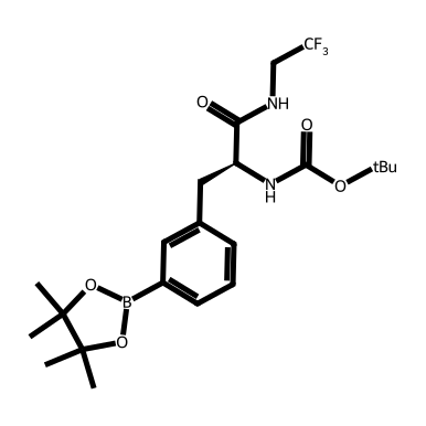 CC(C)(C)OC(=O)N[C@@H](Cc1cccc(B2OC(C)(C)C(C)(C)O2)c1)C(=O)NCC(F)(F)F